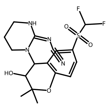 CC1(C)Oc2ccc(S(=O)(=O)C(F)F)cc2C(N2CCCN/C2=N/C#N)C1O